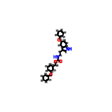 O=C(NCCc1c[nH]c2ccc(Oc3ccccc3)cc12)OCc1cccc(Oc2ccccc2)c1